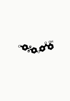 O=C(c1ccc(Oc2ccc(S(=O)(=O)c3ccc(Cl)cc3)cc2)cc1)c1ccccc1O